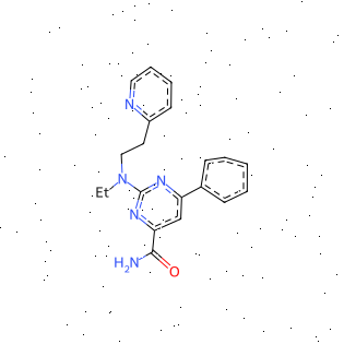 CCN(CCc1ccccn1)c1nc(C(N)=O)cc(-c2ccccc2)n1